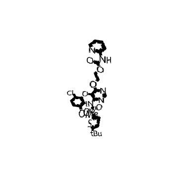 COc1ccc(Cl)c(Oc2c(NS(=O)(=O)c3ccc(C(C)(C)C)s3)ncnc2OCCOC(=O)Nc2ccccn2)c1